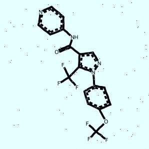 O=C(Nc1ccncc1)c1cnn(-c2ccc(OC(F)(F)F)cc2)c1C(F)(F)F